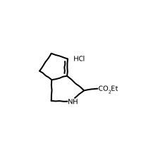 CCOC(=O)C1NCC2CCC=C21.Cl